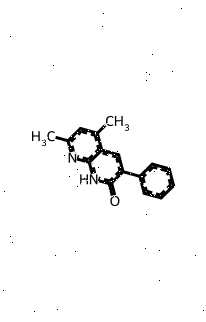 Cc1cc(C)c2cc(-c3ccccc3)c(=O)[nH]c2n1